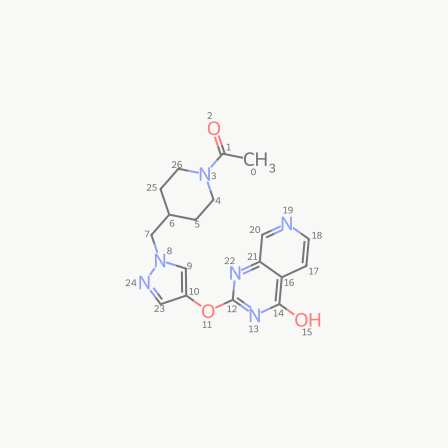 CC(=O)N1CCC(Cn2cc(Oc3nc(O)c4ccncc4n3)cn2)CC1